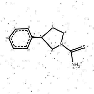 NC(=S)N1CC[C@H](c2ccccc2)C1